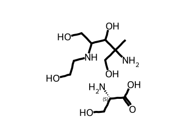 CC(N)(CO)C(O)C(CO)NCCO.N[C@@H](CO)C(=O)O